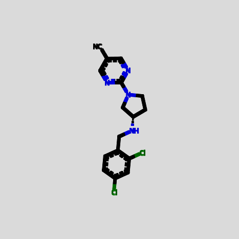 N#Cc1cnc(N2CC[C@H](NCc3ccc(Cl)cc3Cl)C2)nc1